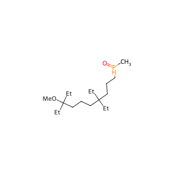 CCC(CC)(CCC[PH](C)=O)CCCC(CC)(CC)OC